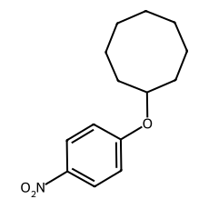 O=[N+]([O-])c1ccc(OC2CCCCCCC2)cc1